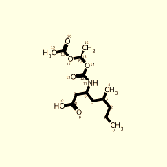 CCCC(C)CC(CC(=O)O)NC(=O)O[C@H](C)OC(C)=O